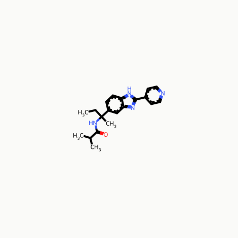 CCC(C)(NC(=O)C(C)C)c1ccc2[nH]c(-c3ccncc3)nc2c1